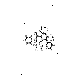 C=Cc1cc(F)c(-c2ccccc2F)nc1C(=O)N(C1=CCCCO1)c1cccnc1